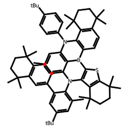 Cc1cc2c3c(c1)N(c1c(C)cc(C(C)(C)C)cc1-c1ccc4c(c1)C(C)(C)CCC4(C)C)c1c(sc4c1C(C)(C)CCC4(C)C)B3c1ccc3c(c1N2c1ccc(C(C)(C)C)cc1)C(C)(C)CCC3(C)C